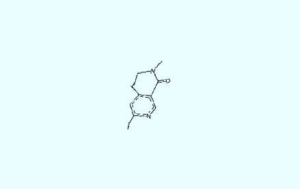 Cc1cc2c(cn1)C(=O)N(C)CC2